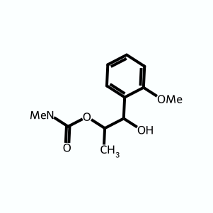 CNC(=O)OC(C)C(O)c1ccccc1OC